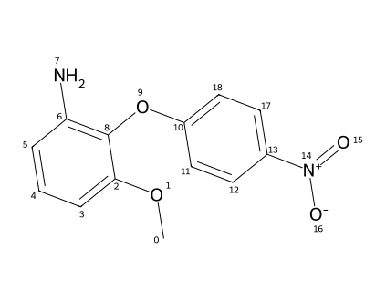 COc1cccc(N)c1Oc1ccc([N+](=O)[O-])cc1